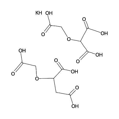 O=C(O)COC(C(=O)O)C(=O)O.O=C(O)COC(CC(=O)O)C(=O)O.[KH]